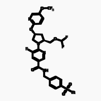 CCS(=O)(=O)c1ccc(CNC(=O)c2cnc(N3C[C@@H](Oc4ccc(OC(F)(F)F)cn4)C[C@H]3COC(F)F)c(F)c2)cc1